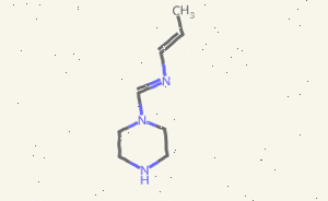 C/C=C/N=C/N1CCNCC1